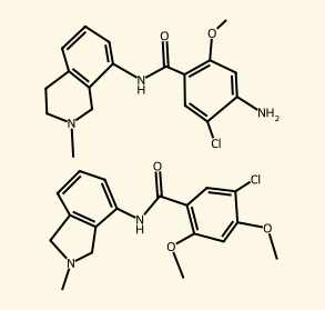 COc1cc(N)c(Cl)cc1C(=O)Nc1cccc2c1CN(C)CC2.COc1cc(OC)c(C(=O)Nc2cccc3c2CN(C)C3)cc1Cl